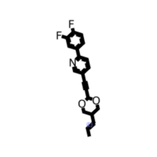 C/C=C/C1COC(C#Cc2ccc(-c3ccc(F)c(F)c3)nc2)OC1